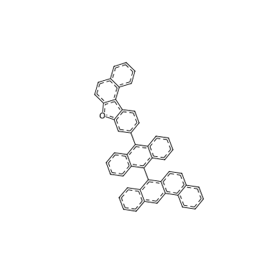 c1ccc2c(-c3c4ccccc4c(-c4ccc5c(c4)oc4ccc6ccccc6c45)c4ccccc34)c3ccc4ccccc4c3cc2c1